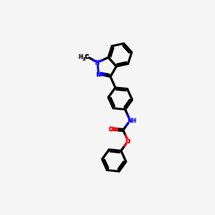 Cn1nc(-c2ccc(NC(=O)Oc3ccccc3)cc2)c2ccccc21